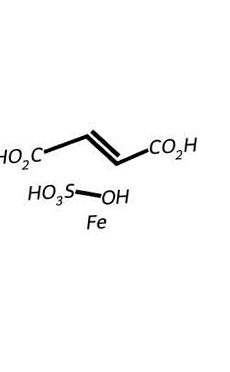 O=C(O)/C=C/C(=O)O.O=S(=O)(O)O.[Fe]